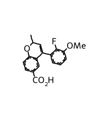 COc1cccc(C2=CC(C)Oc3ccc(C(=O)O)cc32)c1F